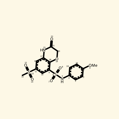 COc1ccc(NS(=O)(=O)c2cc(S(C)(=O)=O)cc3c2OCC(=O)N3)cc1